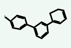 Ic1ccc(-c2cccc(C3=CC=CCC3)c2)cc1